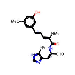 CN/C(=C\C=C\c1cc(O)cc(OC)c1)C(=O)N/C(C=O)=C\c1nc[nH]c1C(C)(C)C